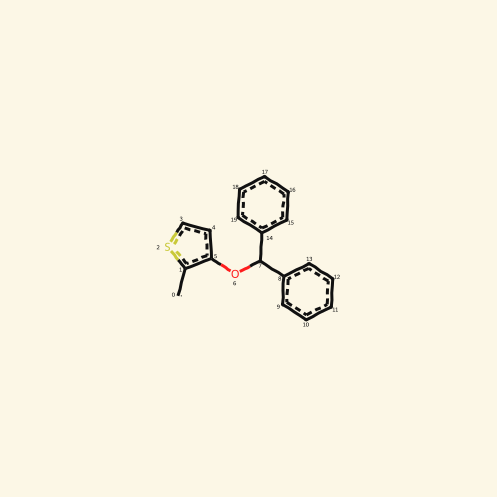 [CH2]c1sccc1OC(c1ccccc1)c1ccccc1